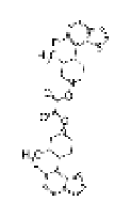 CC1CN(OC(=O)C(=O)ON2CCC(c3c(F)ccc4ccsc34)C(C)C2)CCC1c1c(F)ccc2ccsc12